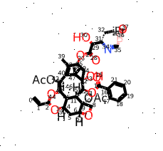 C=CC1O[C@H]2C[C@H]3OC[C@@]3(OC(C)=O)[C@H]3[C@H](OC(=O)c4ccccc4)[C@]4(O)C[C@H](OC(=O)C(O)[C@H](CC(C)C)/N=C\B=O)C(C)=C([C@H](OC(C)=O)[C@H](O1)[C@]23C)C4(C)C